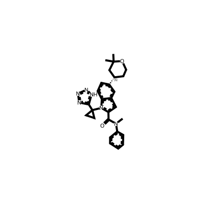 CN(C(=O)c1cc2cc([C@H]3CCOC(C)(C)C3)ccc2n1C1(c2nnn[nH]2)CC1)c1ccccc1